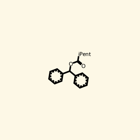 CCCC(C)C(=O)OC(c1ccccc1)c1ccccc1